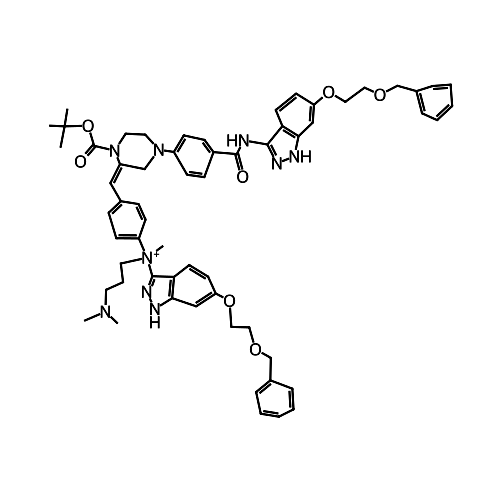 CN(C)CCC[N+](C)(c1ccc(C=C2CN(c3ccc(C(=O)Nc4n[nH]c5cc(OCCOCc6ccccc6)ccc45)cc3)CCN2C(=O)OC(C)(C)C)cc1)c1n[nH]c2cc(OCCOCc3ccccc3)ccc12